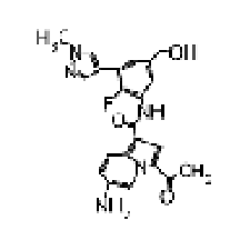 CC(=O)c1cc(C(=O)Nc2cc(CO)cc(-c3cnn(C)c3)c2F)c2ccc(N)cn12